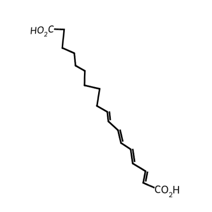 O=C(O)C=CC=CC=CC=CCCCCCCCCC(=O)O